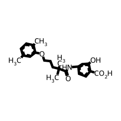 Cc1ccc(C)c(OCCCC(C)(C)C(=O)Nc2ccc(C(=O)O)c(O)c2)c1